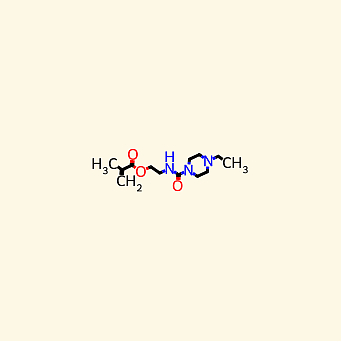 C=C(C)C(=O)OCCNC(=O)N1CCN(CC)CC1